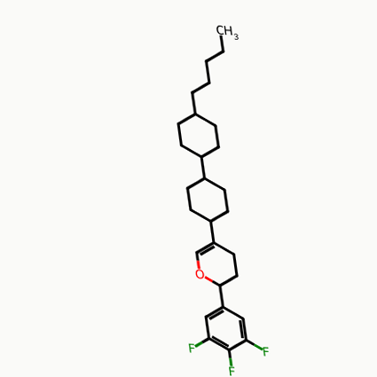 CCCCCC1CCC(C2CCC(C3=COC(c4cc(F)c(F)c(F)c4)CC3)CC2)CC1